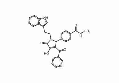 CNC(=O)c1ccc(C2C(C(=O)c3cccnc3)=C(O)C(=O)N2CCc2c[nH]c3ccccc23)cc1